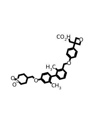 Cc1cc(OCC2CCS(=O)(=O)CC2)ccc1-c1cccc(COc2ccc(C3(CC(=O)O)COC3)cc2)c1C